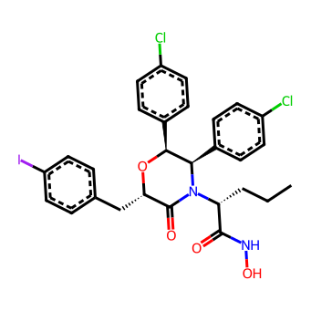 CCC[C@H](C(=O)NO)N1C(=O)[C@H](Cc2ccc(I)cc2)O[C@@H](c2ccc(Cl)cc2)[C@H]1c1ccc(Cl)cc1